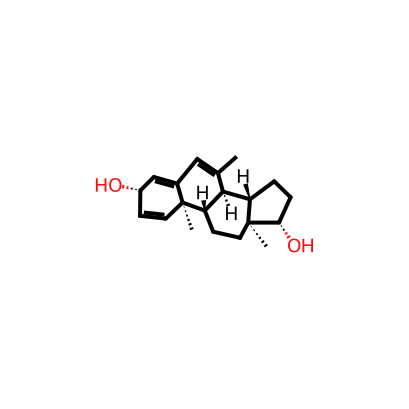 CC1=CC2=C[C@@H](O)C=C[C@]2(C)[C@H]2CC[C@]3(C)[C@@H](O)CC[C@H]3[C@H]12